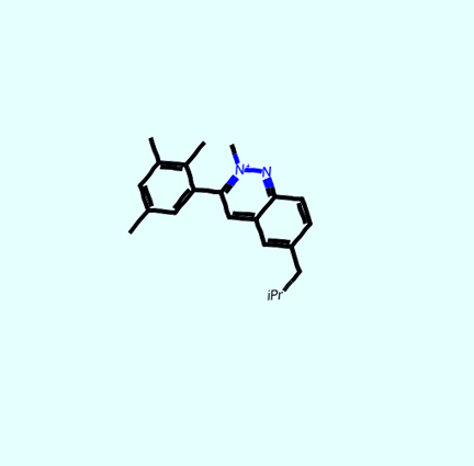 Cc1cc(C)c(C)c(-c2cc3cc(CC(C)C)ccc3n[n+]2C)c1